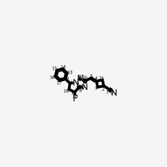 N#CC1CC(=Cc2nc3n(n2)C(c2ccccc2)CC3F)C1